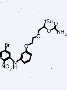 CC(C)(C)C(COCCOc1cccc(Nc2cc(Br)ccc2[N+](=O)[O-])c1)OC(N)=O